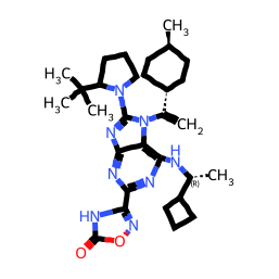 C=C([C@H]1CC[C@H](C)CC1)n1c(N2CCCC2C(C)(C)C)nc2nc(-c3noc(=O)[nH]3)nc(N[C@H](C)C3CCC3)c21